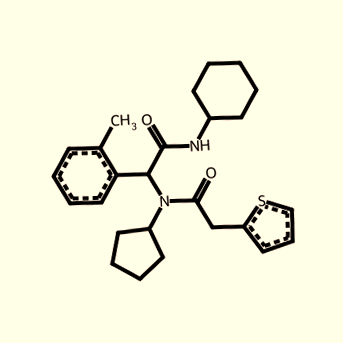 Cc1ccccc1C(C(=O)NC1CCCCC1)N(C(=O)Cc1cccs1)C1CCCC1